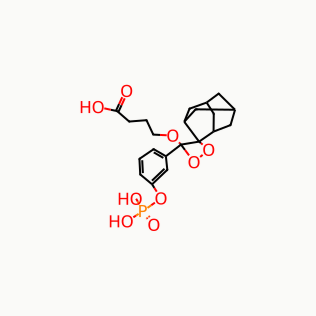 O=C(O)CCCOC1(c2cccc(OP(=O)(O)O)c2)OOC12C1CC3CC(C1)CC2C3